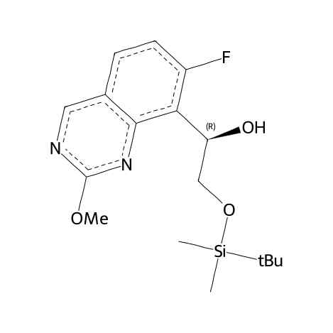 COc1ncc2ccc(F)c([C@@H](O)CO[Si](C)(C)C(C)(C)C)c2n1